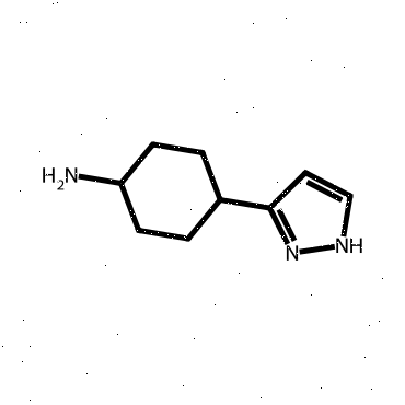 NC1CCC(c2cc[nH]n2)CC1